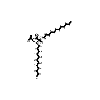 CCCCCCCCCCCCOC(C)(OCCCCCCCCCCCC)C(=O)OC(C)C